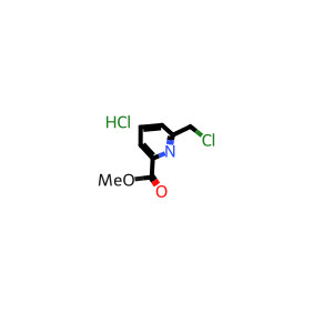 COC(=O)c1cccc(CCl)n1.Cl